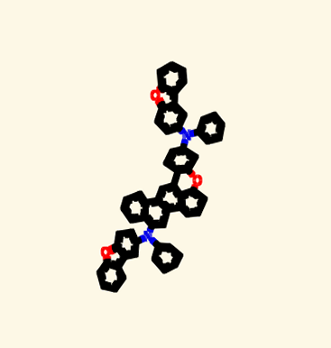 c1ccc(N(c2ccc3c(c2)Oc2cccc4c2c-3cc2c3ccccc3c(N(c3ccccc3)c3ccc5oc6ccccc6c5c3)cc42)c2ccc3oc4ccccc4c3c2)cc1